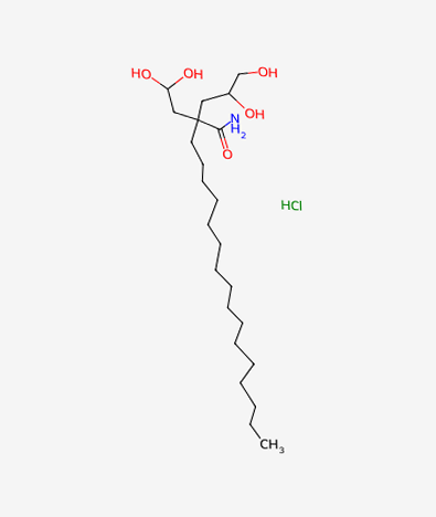 CCCCCCCCCCCCCCCCC(CC(O)O)(CC(O)CO)C(N)=O.Cl